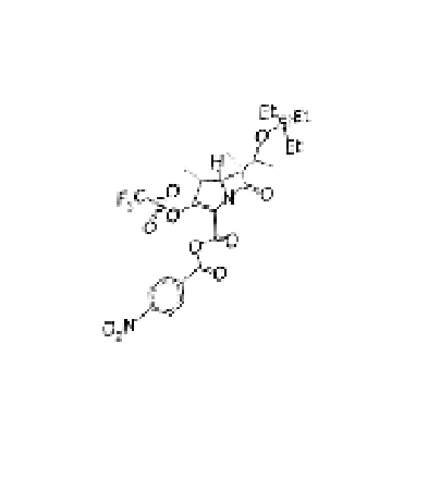 CC[Si](CC)(CC)OC(C)[C@@]1(C)C(=O)N2C(C(=O)OC(=O)c3ccc([N+](=O)[O-])cc3)=C(OS(=O)(=O)C(F)(F)F)[C@H](C)[C@@H]21